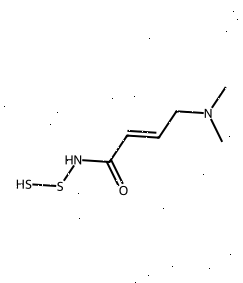 CN(C)C/C=C/C(=O)NSS